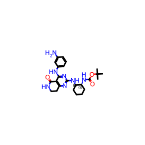 CC(C)(C)OC(=O)N[C@H]1CCCC[C@H]1Nc1nc2c(c(Nc3cccc(N)c3)n1)C(=O)NCC2